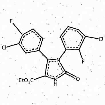 CCOC(=O)c1[nH]c(=O)n(-c2cccc(Cl)c2F)c1-c1ccc(F)c(Cl)c1